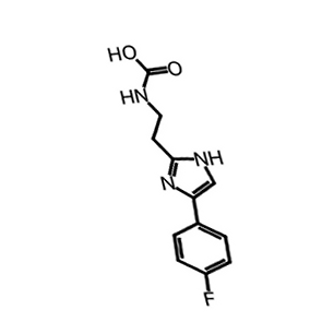 O=C(O)NCCc1nc(-c2ccc(F)cc2)c[nH]1